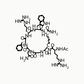 CC(=O)N[C@@H](CCCNC(=N)N)C(=O)N[C@H]1CSSC[C@@H](C(N)=O)NC(=O)[C@H](Cc2c[nH]c3ccccc23)NC(=O)[C@H](CCCNC(=N)N)NC(=O)[C@@H](Cc2ccccc2)NC(=O)[C@H](CC(N)=O)NC(=O)[C@@H](C)NC1=O